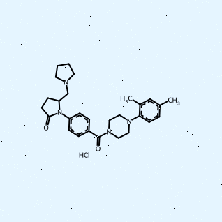 Cc1ccc(N2CCN(C(=O)c3ccc(N4C(=O)CCC4CN4CCCC4)cc3)CC2)c(C)c1.Cl